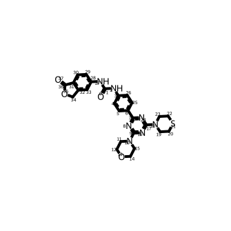 O=C(Nc1ccc(-c2nc(N3CCOCC3)nc(N3CCSCC3)n2)cc1)Nc1ccc2c(c1)COC2=O